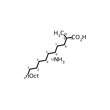 CCCCCCCCCCCCCCCCC(C)C(=O)O.N